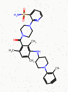 Cc1cc(C)c(C(=O)N2CCN(c3ncccc3S(N)(=O)=O)CC2)c(C)c1NC1CCN(c2ccc#cc2C#N)CC1